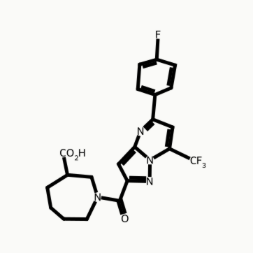 O=C(O)C1CCCCN(C(=O)c2cc3nc(-c4ccc(F)cc4)cc(C(F)(F)F)n3n2)C1